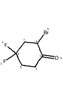 O=C1CCC(F)(F)CC1Br